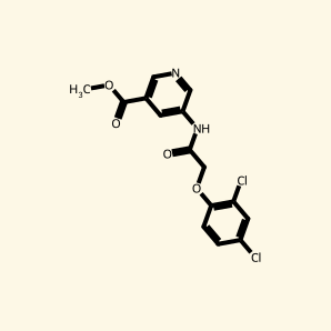 COC(=O)c1cncc(NC(=O)COc2ccc(Cl)cc2Cl)c1